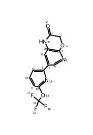 O=C1COc2ncc(-c3cccc(OC(F)(F)F)n3)cc2N1